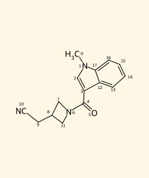 Cn1cc(C(=O)N2CC(CC#N)C2)c2ccccc21